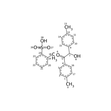 Cc1ccc(C(=O)C(O)c2ccc(C)cc2)cc1.Cc1ccccc1S(=O)(=O)O